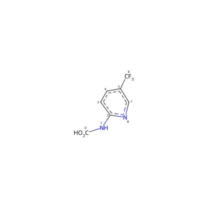 O=C(O)Nc1ccc(C(F)(F)F)cn1